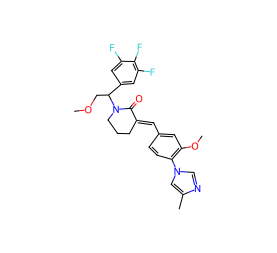 COCC(c1cc(F)c(F)c(F)c1)N1CCC/C(=C\c2ccc(-n3cnc(C)c3)c(OC)c2)C1=O